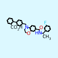 C[C@H](NC(=O)c1ccc2c(c1)OCCN2Cc1ccc(-c2ccccc2C(=O)O)cc1)c1cccc(F)c1